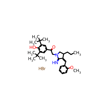 Br.CCCC1CN(CC(=O)c2cc(C(C)(C)C)c(O)c(C(C)(C)C)c2)C(=N)C1=Cc1ccccc1OC